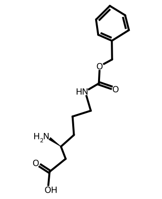 N[C@@H](CCCNC(=O)OCc1ccccc1)CC(=O)O